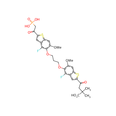 COc1cc2sc(C(=O)CC(C)(C)C(=O)O)cc2c(F)c1OCCCOc1c(OC)cc2sc(C(=O)CP(=O)(O)O)cc2c1F